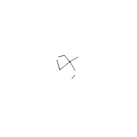 [CH2]COC1(CC)COC1